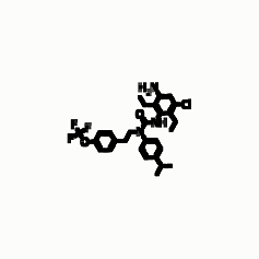 CCc1c(N)cc(Cl)c(CC)c1NC(=O)N(CCc1ccc(OC(F)(F)F)cc1)c1ccc(C(C)C)cc1